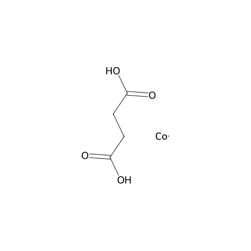 O=C(O)CCC(=O)O.[Co]